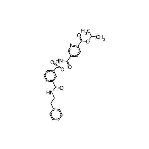 CC(C)OC(=O)c1ccc(C(=O)NS(=O)(=O)c2cccc(C(=O)NCCc3ccccc3)c2)cn1